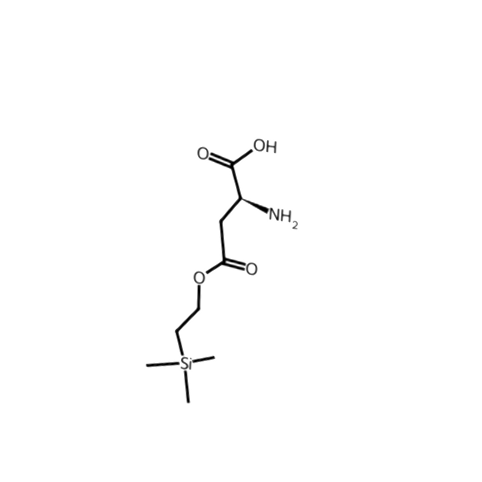 C[Si](C)(C)CCOC(=O)C[C@H](N)C(=O)O